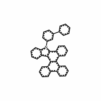 c1ccc(-c2cccc(-n3c4ccccc4c4c5c6ccccc6c6ccccc6c5c5ccccc5c43)c2)cc1